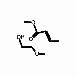 C/C=C/C(=O)OC.COCCO